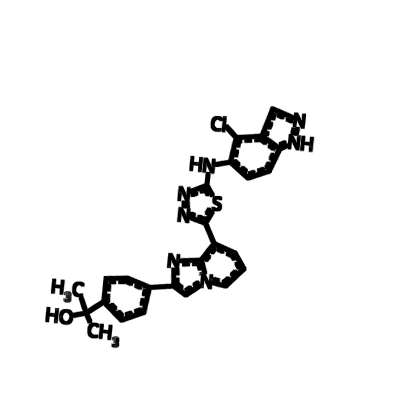 CC(C)(O)c1ccc(-c2cn3cccc(-c4nnc(Nc5ccc6[nH]ncc6c5Cl)s4)c3n2)cc1